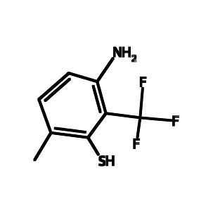 Cc1ccc(N)c(C(F)(F)F)c1S